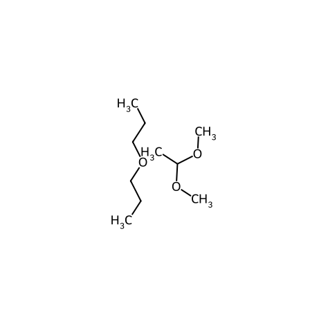 CCCOCCC.COC(C)OC